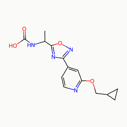 CC(NC(=O)O)c1nc(-c2ccnc(OCC3CC3)c2)no1